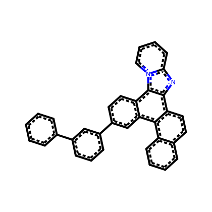 c1ccc(-c2cccc(-c3ccc4c(c3)c3c5ccccc5ccc3c3nc5ccccn5c43)c2)cc1